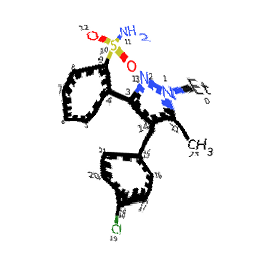 CCn1nc(-c2ccccc2S(N)(=O)=O)c(-c2ccc(Cl)cc2)c1C